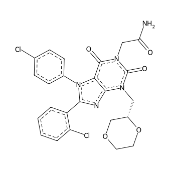 NC(=O)Cn1c(=O)c2c(nc(-c3ccccc3Cl)n2-c2ccc(Cl)cc2)n(C[C@H]2COCCO2)c1=O